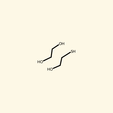 OCCO.OCCS